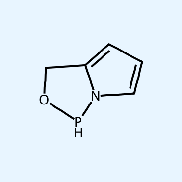 c1cc2n(c1)POC2